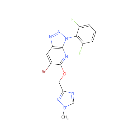 Cn1cnc(COc2nc3c(cc2Br)nnn3-c2c(F)cccc2F)n1